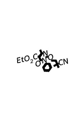 CCOC(=O)c1c(C)nc(OCCC(C)(C)C#N)n(-c2ccccc2)c1=O